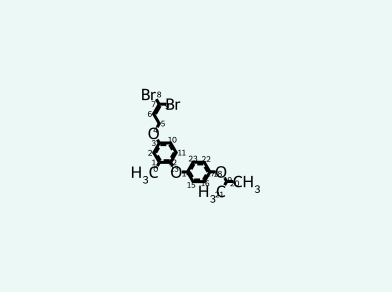 Cc1cc(OCC=C(Br)Br)ccc1Oc1ccc(OC(C)C)cc1